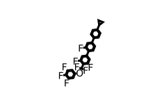 Fc1cc(-c2ccc(C3CC3)cc2)ccc1-c1cc(F)c(C(F)(F)Oc2cc(F)c(F)c(F)c2)c(F)c1